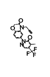 C#CCN1C(=O)COc2ccc(-n3ncc(C(F)(F)F)c(C)c3=O)cc21